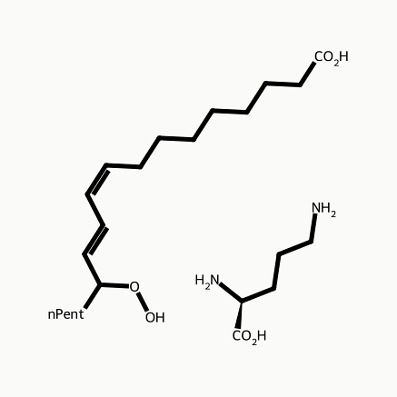 CCCCCC(/C=C/C=C\CCCCCCCC(=O)O)OO.NCCC[C@H](N)C(=O)O